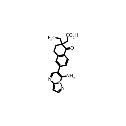 Nc1c(-c2ccc3c(c2)CCC(CC(=O)O)(CC(F)(F)F)C3=O)cnc2ccnn12